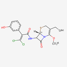 CC(=O)OCC1=C(OC(=O)O)N2C(=O)C(NC(=O)C(=C(Cl)Cl)c3cccc(O)c3)[C@@H]2SC1